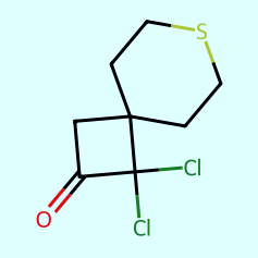 O=C1CC2(CCSCC2)C1(Cl)Cl